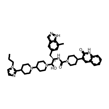 CCCn1ccnc1C1CCN(C2CCN(C(O)[C@@H](Cc3cc(C)c4[nH]ncc4c3)NC(=O)N3CCC(c4cc5ccccc5[nH]c4=O)CC3)CC2)CC1